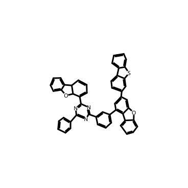 C1=CC2c3ccccc3OC2C(c2nc(-c3ccccc3)nc(-c3cccc(-c4cc(-c5ccc6c(c5)sc5ccccc56)cc5oc6ccccc6c45)c3)n2)=C1